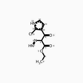 CCOC(=O)C(N=N)C(=O)c1cc[nH]c1Cl